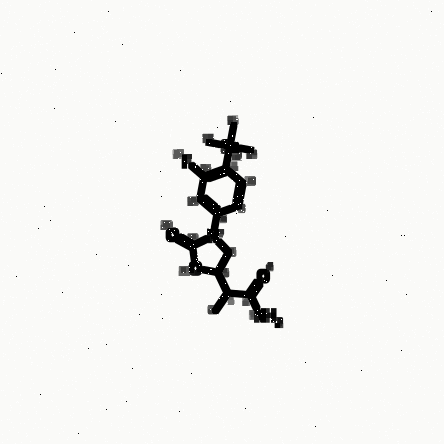 CC(C(N)=O)C1CN(c2cc[c]([Sn]([CH3])([CH3])[CH3])c(F)c2)C(=O)O1